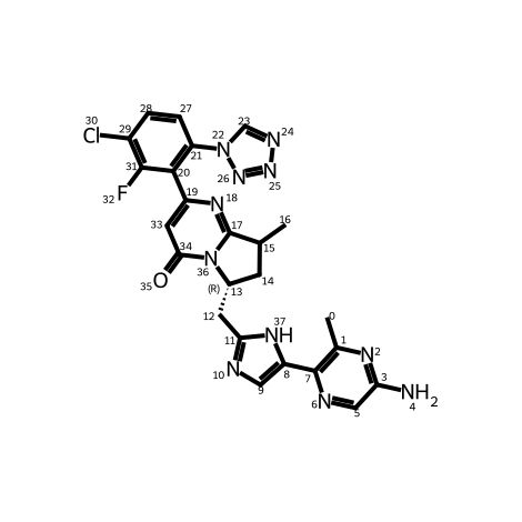 Cc1nc(N)cnc1-c1cnc(C[C@H]2CC(C)c3nc(-c4c(-n5cnnn5)ccc(Cl)c4F)cc(=O)n32)[nH]1